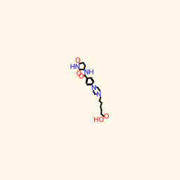 O=C(O)CCCCCCN1CCN(c2ccc(C(=O)NC3CCC(=O)NC3=O)cc2)CC1